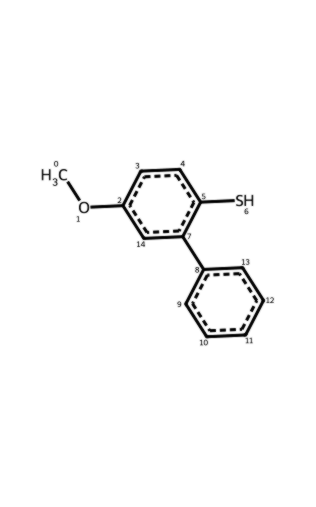 COc1ccc(S)c(-c2ccccc2)c1